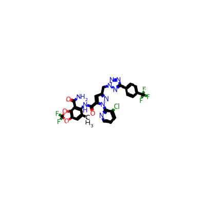 Cc1cc2c(c(C(N)=O)c1NC(=O)c1cc(Cn3nnc(-c4ccc(C(F)(F)F)cc4)n3)nn1-c1ncccc1Cl)OC(F)(F)O2